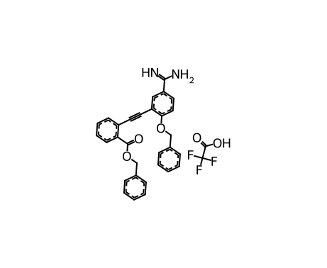 N=C(N)c1ccc(OCc2ccccc2)c(C#Cc2ccccc2C(=O)OCc2ccccc2)c1.O=C(O)C(F)(F)F